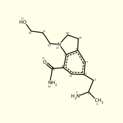 CC(N)Cc1cc2c(c(C(N)=O)c1)N(CCCO)CC2